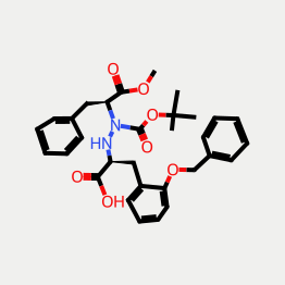 COC(=O)[C@H](Cc1ccccc1)N(N[C@@H](Cc1ccccc1OCc1ccccc1)C(=O)O)C(=O)OC(C)(C)C